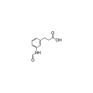 O=CNc1cccc(CCC(=O)O)c1